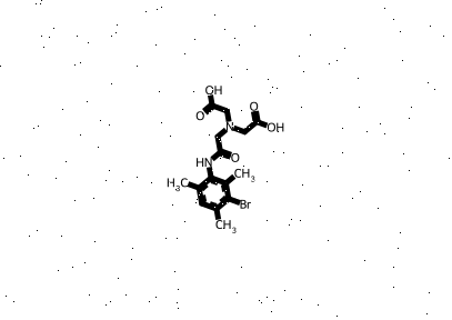 Cc1cc(C)c(NC(=O)CN(CC(=O)O)CC(=O)O)c(C)c1Br